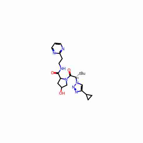 CC(C)(C)[C@@H](C(=O)N1CC(O)CC1C(=O)NCCc1ncccn1)n1cc(C2CC2)nn1